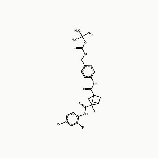 CC(C)(C)OC(=O)NCc1ccc(NC(=O)C23CC(C2)[C@H](C(=O)Nc2ccc(Br)cc2F)C3)cc1